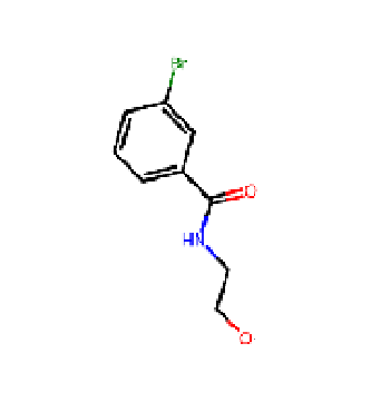 [O]CCNC(=O)c1cccc(Br)c1